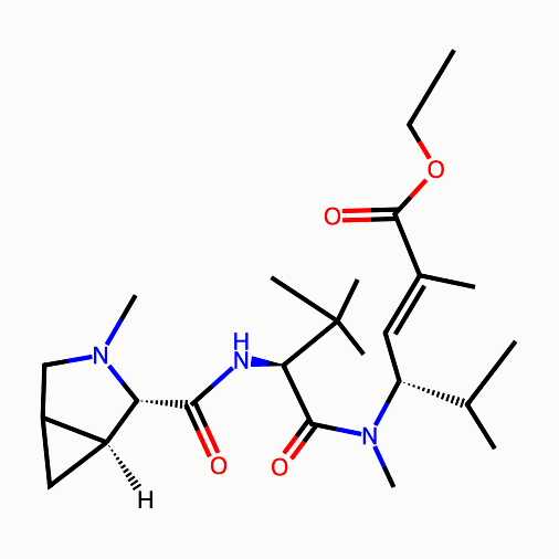 CCOC(=O)/C(C)=C/[C@H](C(C)C)N(C)C(=O)[C@@H](NC(=O)[C@@H]1[C@H]2CC2CN1C)C(C)(C)C